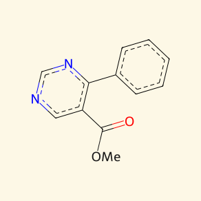 COC(=O)c1cncnc1-c1ccccc1